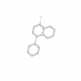 Fc1ccc(-c2ccccc2)c2ccccc12